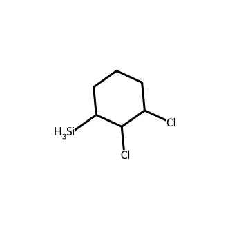 [SiH3]C1CCCC(Cl)C1Cl